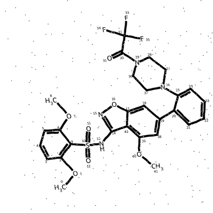 COc1cccc(OC)c1S(=O)(=O)Nc1noc2cc(-c3ccccc3N3CCN(C(=O)C(F)(F)F)CC3)cc(OC)c12